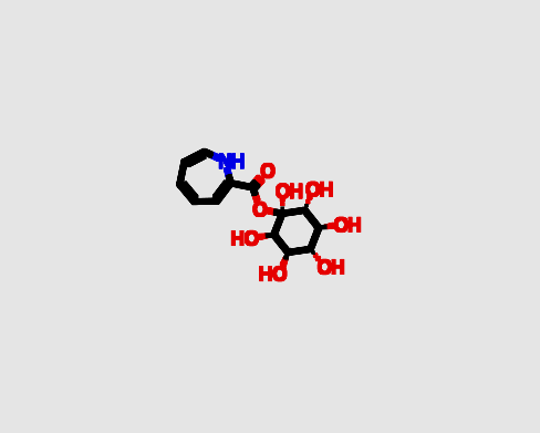 O=C(O[C@]1(O)[C@H](O)[C@H](O)[C@@H](O)[C@H](O)[C@H]1O)C1=CC=CC=CN1